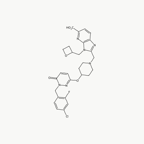 O=C(O)c1ccc2nc(CN3CCC(Oc4ccc(=O)n(Cc5ccc(Cl)cc5F)n4)CC3)n(CC3CCO3)c2n1